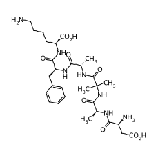 C[C@H](NC(=O)[C@@H](N)CC(=O)O)C(=O)NC(C)(C)C(=O)N[C@@H](C)C(=O)N[C@@H](Cc1ccccc1)C(=O)N[C@@H](CCCCN)C(=O)O